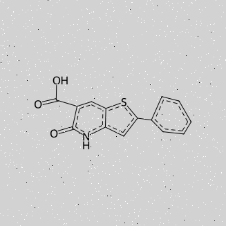 O=C(O)c1cc2sc(-c3ccccc3)cc2[nH]c1=O